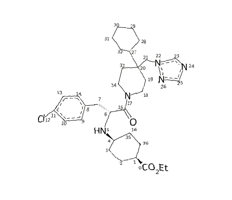 CCOC(=O)[C@H]1CC[C@@H](N[C@H](Cc2ccc(Cl)cc2)C(=O)N2CCC(Cn3cncn3)(C3CCCCC3)CC2)CC1